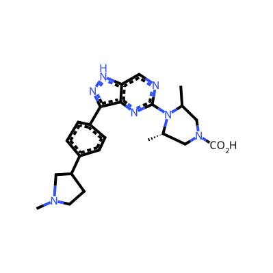 CC1CN(C(=O)O)C[C@H](C)N1c1ncc2[nH]nc(-c3ccc(C4CCN(C)C4)cc3)c2n1